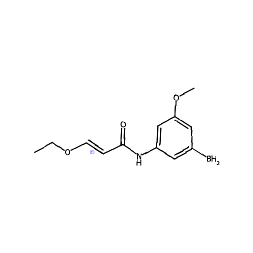 Bc1cc(NC(=O)/C=C/OCC)cc(OC)c1